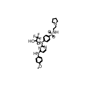 COc1ccc(Nc2ccnc(Nc3ccc(S(=O)(=O)NCCN4CCCC4)cc3)n2)cc1.O=C(O)C(F)(F)F